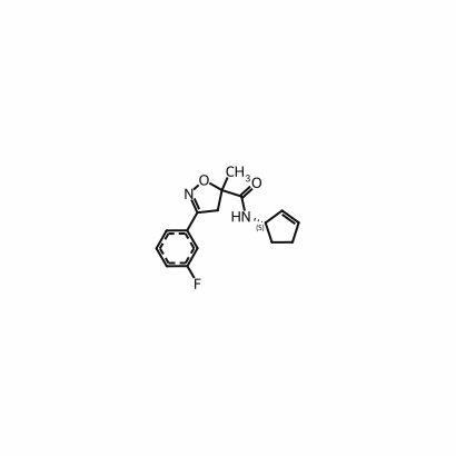 CC1(C(=O)N[C@@H]2C=CCC2)CC(c2cccc(F)c2)=NO1